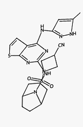 Cc1cc(Nc2nc(NC3CC4CCC(C3)N4S(=O)(=O)N3CC(C#N)C3)nc3sccc23)n[nH]1